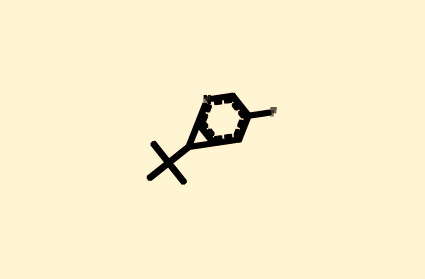 CC(C)(C)C1c2cc(F)cnc21